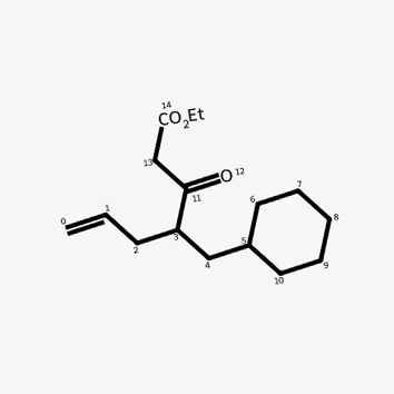 C=CCC(CC1CCCCC1)C(=O)CC(=O)OCC